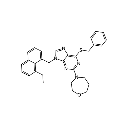 CCc1cccc2cccc(Cn3cnc4c(SCc5ccccc5)nc(N5CCCOCC5)nc43)c12